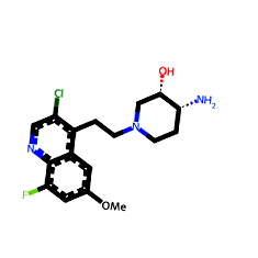 COc1cc(F)c2ncc(Cl)c(CCN3CC[C@@H](N)[C@@H](O)C3)c2c1